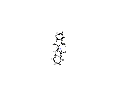 CN1/C(=C2/Sc3ccccc3N2C)Sc2ccccc21